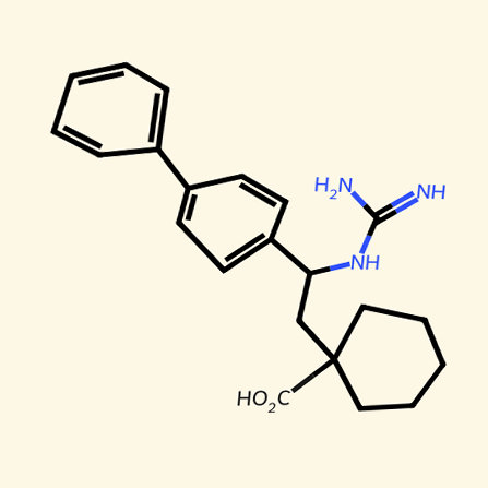 N=C(N)NC(CC1(C(=O)O)CCCCC1)c1ccc(-c2ccccc2)cc1